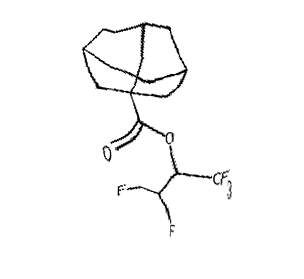 O=C(OC(C(F)F)C(F)(F)F)C12CC3CC(CC(C3)C1)C2